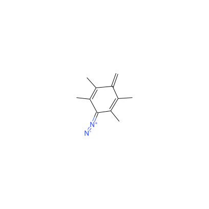 C=C1C(C)=C(C)C(=[N+]=[N-])C(C)=C1C